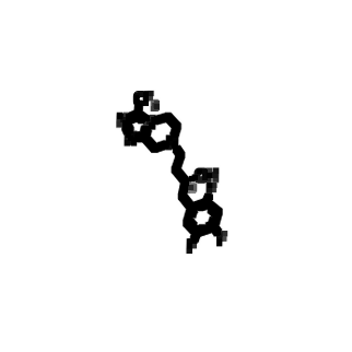 O[C@@H](CCN1CCn2c(nnc2C(F)(F)F)C1)Cc1cc(F)c(F)cc1F